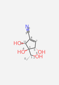 C[C@@H](O)[C@@]1(O)[C@@H](O)C=C(C#N)[C@@H]1O